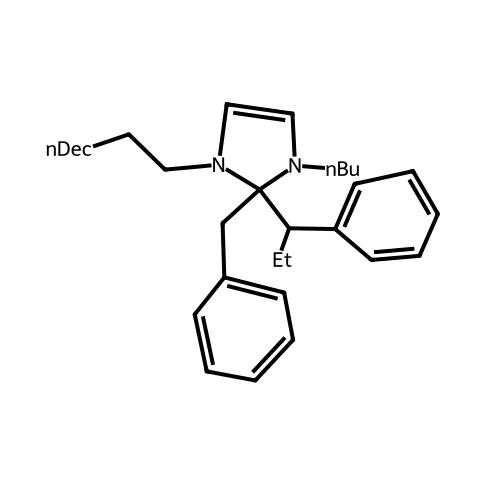 CCCCCCCCCCCCN1C=CN(CCCC)C1(Cc1ccccc1)C(CC)c1ccccc1